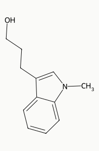 Cn1cc(CCCO)c2ccccc21